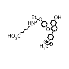 CCC(CNCCCCCCC(=O)O)Oc1ccc(Oc2c(-c3ccc(S(C)(=O)=O)cc3)ccc3cc(O)ccc23)cc1